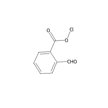 O=Cc1ccccc1C(=O)OCl